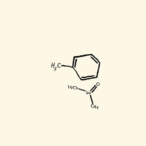 Cc1ccccc1.O=[Se](O)O